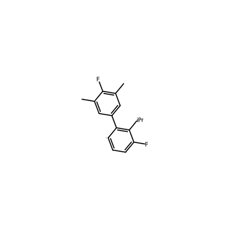 Cc1cc(-c2[c]ccc(F)c2C(C)C)cc(C)c1F